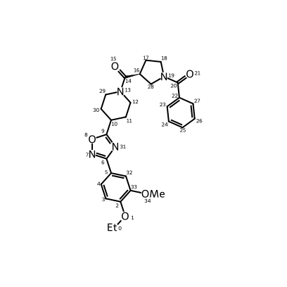 CCOc1ccc(-c2noc(C3CCN(C(=O)[C@H]4CCN(C(=O)c5ccccc5)C4)CC3)n2)cc1OC